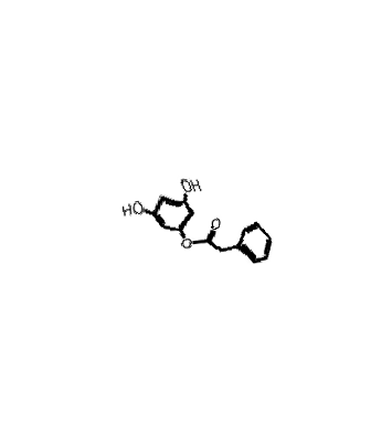 O=C(Cc1ccccc1)Oc1cc(O)cc(O)c1